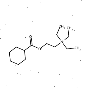 CC[N+](CC)(CC)CCOC(=O)C1CCCCC1